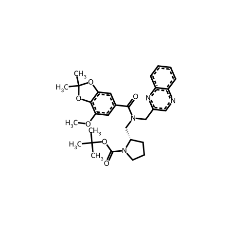 COc1cc(C(=O)N(Cc2cnc3ccccc3n2)C[C@@H]2CCCN2C(=O)OC(C)(C)C)cc2c1OC(C)(C)O2